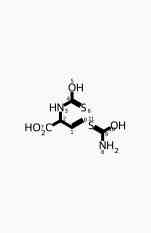 C=CC(NC(O)=S)C(=O)O.NC(O)=S